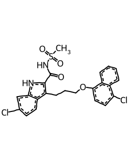 CS(=O)(=O)NC(=O)c1[nH]c2cc(Cl)ccc2c1CCCOc1ccc(Cl)c2ccccc12